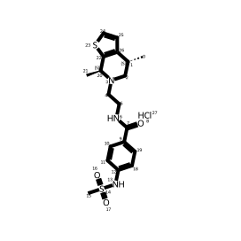 C[C@@H]1CN(CCNC(=O)c2ccc(NS(C)(=O)=O)cc2)[C@@H](C)c2sccc21.Cl